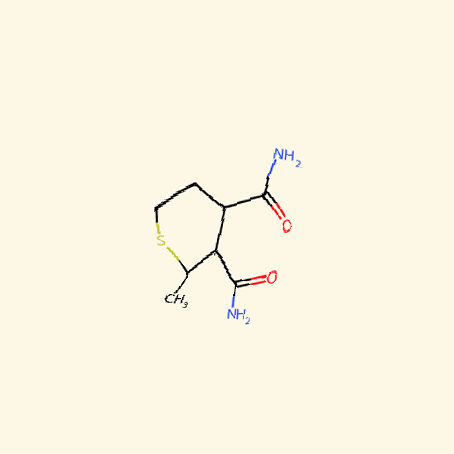 CC1SCCC(C(N)=O)[C]1C(N)=O